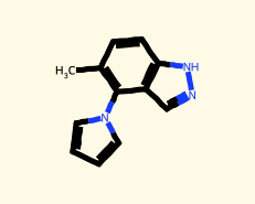 Cc1ccc2[nH]ncc2c1-n1cccc1